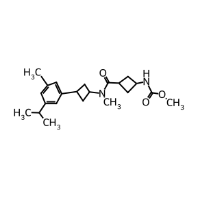 COC(=O)NC1CC(C(=O)N(C)C2CC(c3cc(C)cc(C(C)C)c3)C2)C1